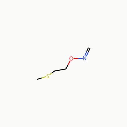 C=NOCCSC